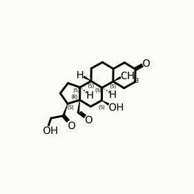 C[C@]12CCC(=O)CC1CC[C@@H]1[C@@H]2[C@@H](O)C[C@]2(C=O)[C@@H](C(=O)CO)CC[C@@H]12